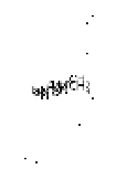 CC(C)CCNC(=O)Oc1ccccc1-c1ccccc1CNC(=O)c1ccccc1